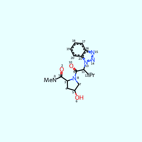 CNC(=O)C1CC(O)CN1C(=O)C(C(C)C)n1nnc2ccccc21